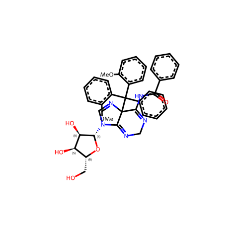 COc1ccccc1C(c1ccccc1)(c1ccccc1OC)C12N=CN([C@@H]3O[C@H](CO)[C@@H](O)[C@H]3O)C1=NCN=C2NC(=O)c1ccccc1